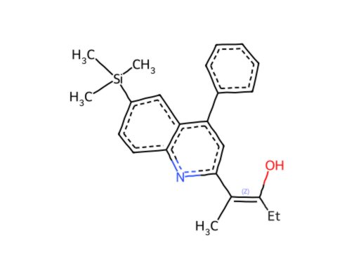 CC/C(O)=C(\C)c1cc(-c2ccccc2)c2cc([Si](C)(C)C)ccc2n1